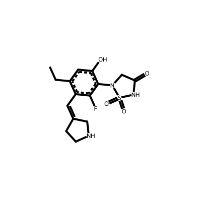 CCc1cc(O)c(N2CC(=O)NS2(=O)=O)c(F)c1/C=C1/CCNC1